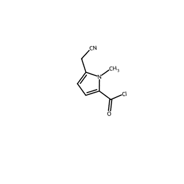 Cn1c(CC#N)ccc1C(=O)Cl